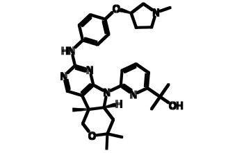 CN1CC[C@@H](Oc2ccc(Nc3ncc4c(n3)N(c3cccc(C(C)(C)O)n3)[C@@H]3CC(C)(C)OC[C@]43C)cc2)C1